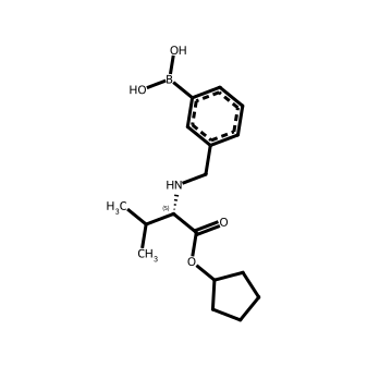 CC(C)[C@H](NCc1cccc(B(O)O)c1)C(=O)OC1CCCC1